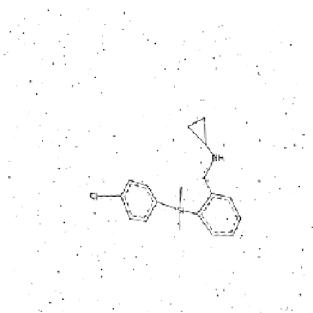 C[Si](C)(c1ccc(Cl)cc1)c1ccccc1CNC1CC1